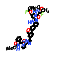 COC(=O)N[C@H](C(=O)N1C[C@@H](COC(C)F)C[C@H]1c1nc2ccc3cc4c(cc3c2[nH]1)OCc1cc(-c2cnc(C3CCCN3C(=O)[C@H](NC(=O)OC)c3ccccc3)[nH]2)ccc1-4)C(C)F